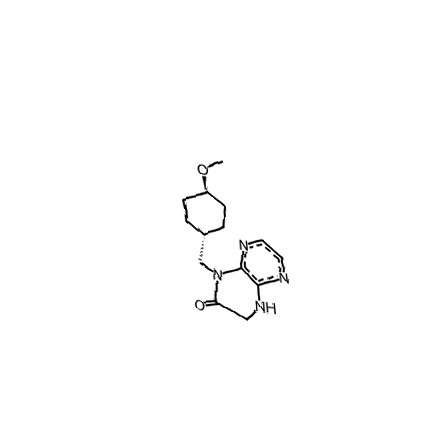 CO[C@H]1CC[C@H](CN2C(=O)CNc3nccnc32)CC1